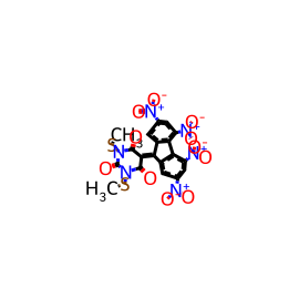 CSN1C(=O)C(=C2c3cc([N+](=O)[O-])cc([N+](=O)[O-])c3-c3c2cc([N+](=O)[O-])cc3[N+](=O)[O-])C(=O)N(SC)C1=O